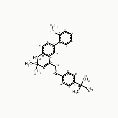 COc1ccccc1-c1ccc2c(c1)C(CSc1ccc(C(C)(C)C)cc1)=CC(C)(C)N2